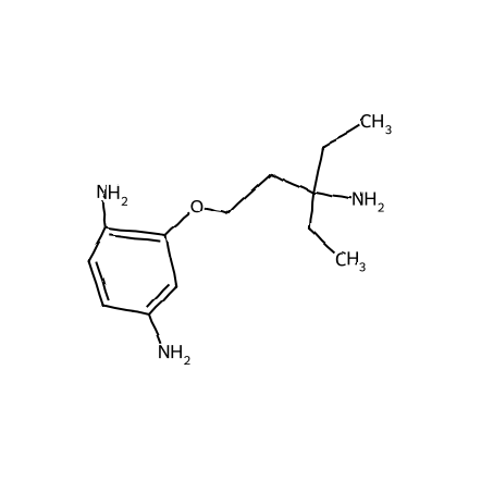 CCC(N)(CC)CCOc1cc(N)ccc1N